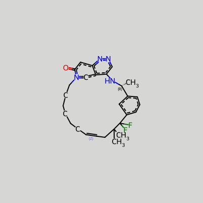 C[C@H]1Nc2cnnc3cc(=O)n(cc23)CCCCCC/C=C\CC(C)(C)C(F)(F)c2cccc1c2